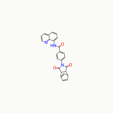 O=C(Nc1cccc2cccnc12)c1ccc(N2C(=O)C3C4=CC(C=C4)C3C2=O)cc1